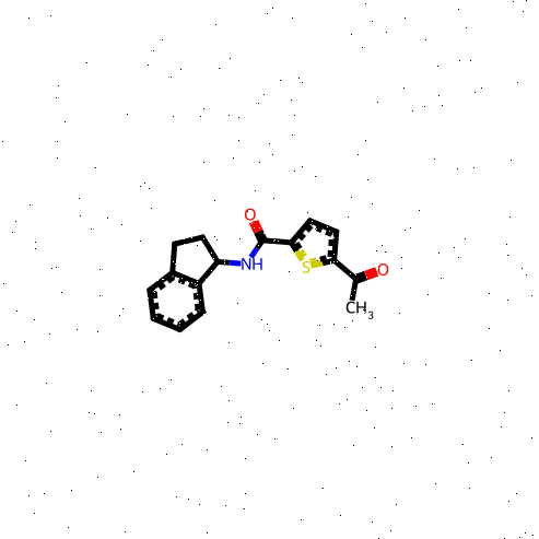 CC(=O)c1ccc(C(=O)NC2CCc3ccccc32)s1